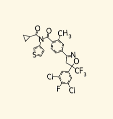 Cc1cc(C2=NOC(c3cc(Cl)c(F)c(Cl)c3)(C(F)(F)F)C2)ccc1C(=O)N(C(=O)C1CC1)c1ccsc1